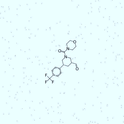 O=CC1CC(c2ccc(C(F)(F)F)cc2)CN(C(=O)N2CCOCC2)C1